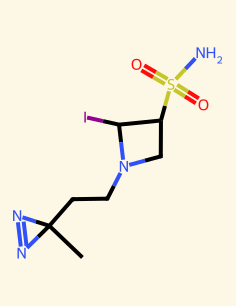 CC1(CCN2CC(S(N)(=O)=O)C2I)N=N1